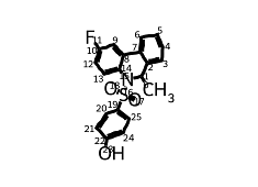 CC1c2ccccc2-c2cc(F)ccc2N1S(=O)(=O)c1ccc(O)cc1